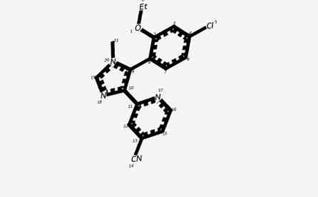 CCOc1cc(Cl)ccc1-c1c(-c2cc(C#N)ccn2)ncn1C